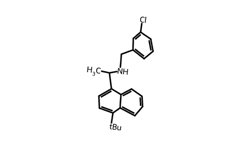 CC(NCc1cccc(Cl)c1)c1ccc(C(C)(C)C)c2ccccc12